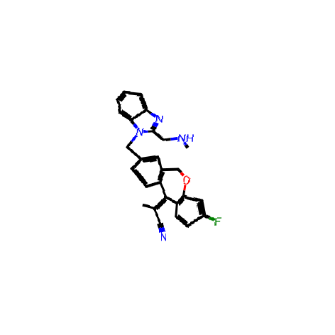 CNCc1nc2ccccc2n1Cc1ccc2c(c1)COc1cc(F)ccc1C2=C(C)C#N